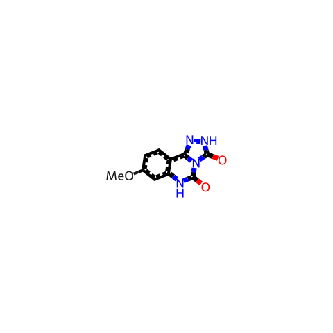 COc1ccc2c(c1)[nH]c(=O)n1c(=O)[nH]nc21